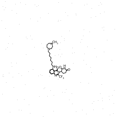 CN1CCCN(CCCCCCCNc2cccc3nc(C(F)(F)F)n(C4CCC(=O)NC4=O)c(=O)c23)CC1